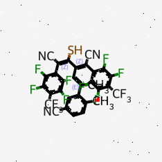 C\C(=C/C(C(/S)=C(/C#N)c1c(F)c(F)c(C(F)(F)F)c(F)c1F)=C(/C#N)c1c(F)c(F)c(C(F)(F)F)c(F)c1F)c1cc(C#N)ccc1C